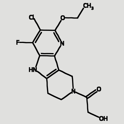 CCOc1nc2c3c([nH]c2c(F)c1Cl)CCN(C(=O)CO)C3